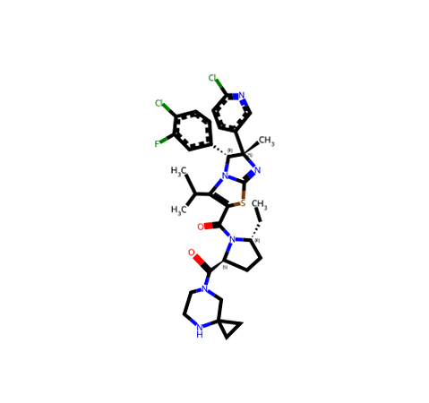 CC[C@@H]1CC[C@@H](C(=O)N2CCNC3(CC3)C2)N1C(=O)C1=C(C(C)C)N2C(=N[C@@](C)(c3ccc(Cl)nc3)[C@H]2c2ccc(Cl)c(F)c2)S1